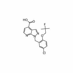 CC(C)(F)COc1ccc(Cl)cc1Cn1ncc2c(C(=O)O)ccnc21